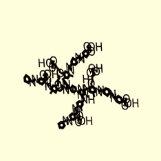 CCCOc1cc(N=Nc2ccc(N=Nc3ccccc3)cc2S(=O)(=O)O)c(C)cc1Cc1nc(Cc2cc(C)c(N=Nc3ccc(N=Nc4ccc(S(=O)(=O)O)cc4)cc3)cc2OCCCS(=O)(=O)O)nc(N2CCN(c3nc(Nc4ccc(N=Nc5ccc(N=Nc6ccccc6)cc5S(=O)(=O)O)c(C)c4)nc(Nc4cc(C)c(N=Nc5ccc(N=Nc6ccc(S(=O)(=O)O)cc6)cc5)cc4OCCCS(=O)(=O)O)n3)CC2)n1